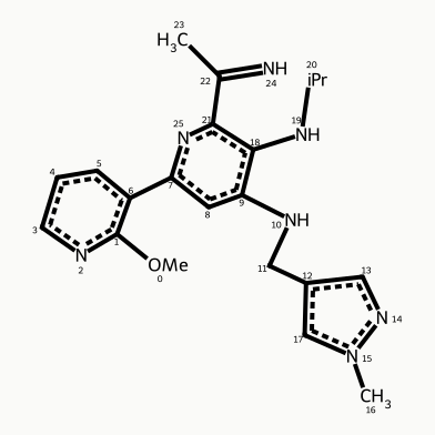 COc1ncccc1-c1cc(NCc2cnn(C)c2)c(NC(C)C)c(C(C)=N)n1